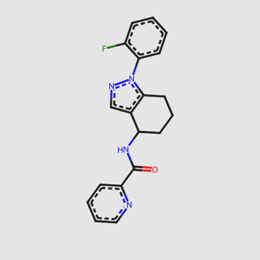 O=C(NC1CCCc2c1cnn2-c1ccccc1F)c1ccccn1